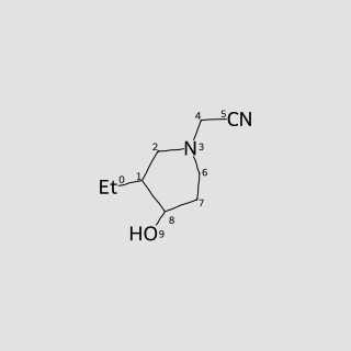 CCC1CN(CC#N)CCC1O